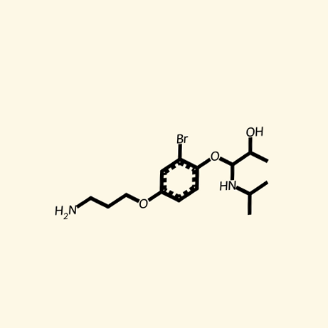 CC(C)NC(Oc1ccc(OCCCN)cc1Br)C(C)O